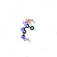 Cn1cc(-c2ccc3c(-c4cc(-c5ccc(F)cc5F)cc(NS(C)(=O)=O)n4)cnn3c2)cn1